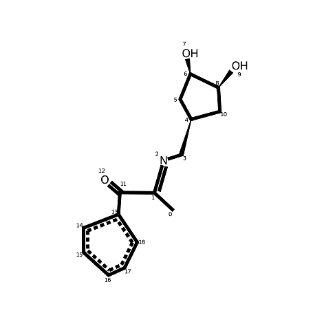 C/C(=N\C[C@H]1C[C@@H](O)[C@@H](O)C1)C(=O)c1ccccc1